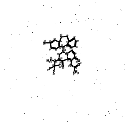 CC(=O)Oc1c2n(ccc1=O)N([C@H]1c3ccccc3CSc3cc(Br)ccc31)CN([C@H](C)C(F)(F)F)C2=O